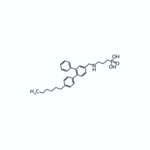 CCCCCCc1ccc(-c2ccc(CNCCCP(=O)(O)O)cc2-c2ccccc2)cc1